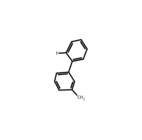 [CH2]c1cccc(-c2ccccc2F)c1